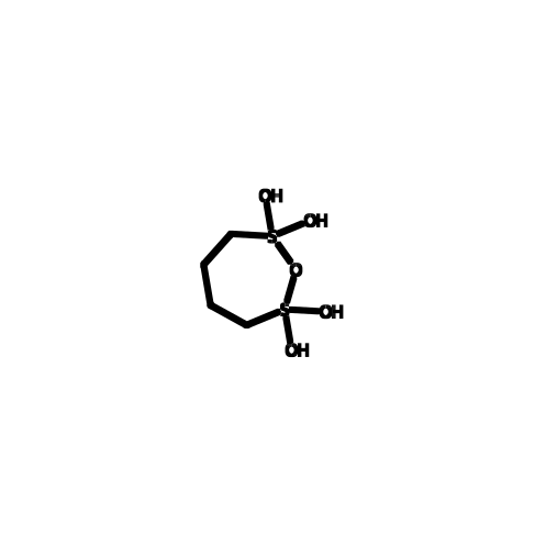 OS1(O)CCCCS(O)(O)O1